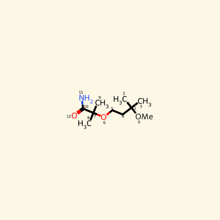 COC(C)(C)CCOC(C)(C)C(N)=O